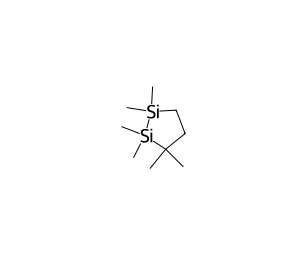 CC1(C)CC[Si](C)(C)[Si]1(C)C